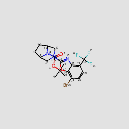 CC(C)(C)OC(=O)N1C2CCC1CN(c1nc3c(C(F)(F)F)ccc(Br)c3o1)C2